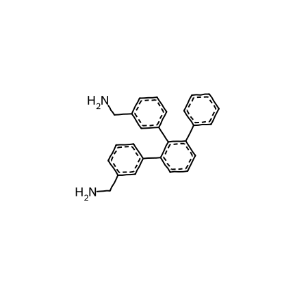 NCc1cccc(-c2cccc(-c3ccccc3)c2-c2cccc(CN)c2)c1